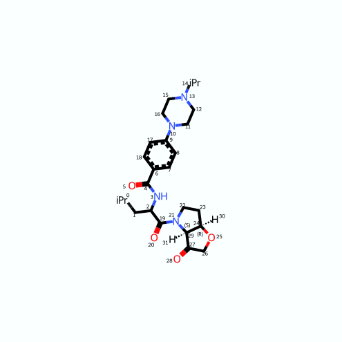 CC(C)CC(NC(=O)c1ccc(N2CCN(C(C)C)CC2)cc1)C(=O)N1CC[C@H]2OCC(=O)[C@H]21